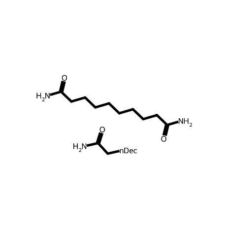 CCCCCCCCCCCC(N)=O.NC(=O)CCCCCCCCC(N)=O